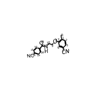 Cc1ccc(C#N)cc1OCCNC(=O)c1ccc(C#N)cc1